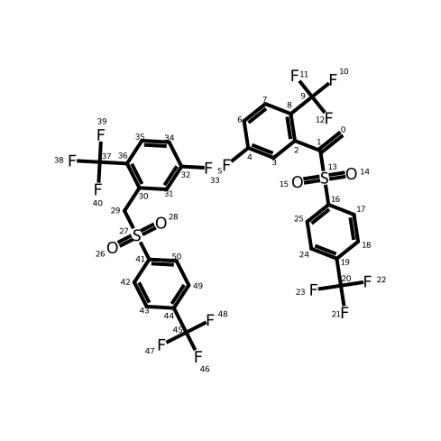 C=C(c1cc(F)ccc1C(F)(F)F)S(=O)(=O)c1ccc(C(F)(F)F)cc1.O=S(=O)(Cc1cc(F)ccc1C(F)(F)F)c1ccc(C(F)(F)F)cc1